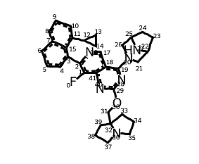 Fc1c(-c2cccc3cccc(C4CC4)c23)ncc2c(N3CC4CCC(C3)N4)nc(OCC34CCCN3CCC4)nc12